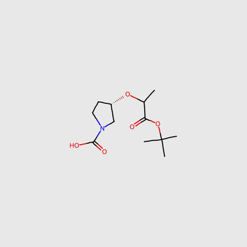 CC(O[C@H]1CCN(C(=O)O)C1)C(=O)OC(C)(C)C